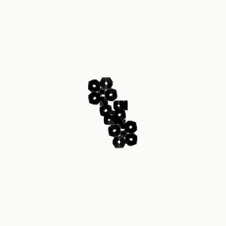 N#Cc1ccc(N2c3ccccc3C(c3ccccc3)(c3ccccc3)c3ccccc32)cc1-c1cc(N2c3ccccc3C(c3ccccc3)(c3ccccc3)c3ccccc32)ccc1C#N